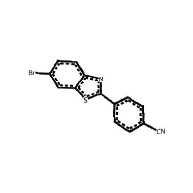 N#Cc1ccc(-c2nc3ccc(Br)cc3s2)cc1